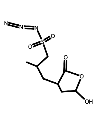 CC(CC1CC(O)OC1=O)CS(=O)(=O)N=[N+]=[N-]